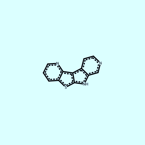 c1cnc2c(c1)sc1[nH]c3cnccc3c12